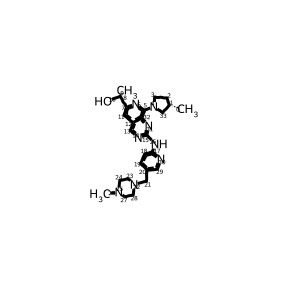 C[C@H]1CCN(c2nc([C@@H](C)O)cc3cnc(Nc4ccc(CN5CCN(C)CC5)cn4)nc23)C1